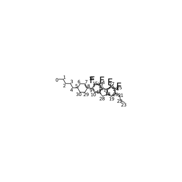 CCCCCC1CC=C(c2cc3c(c(F)c2F)-c2c(cc(CCC)c(F)c2F)C3)CC1